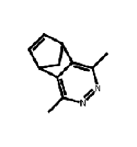 Cc1nnc(C)c2c1C1C=CC2C1